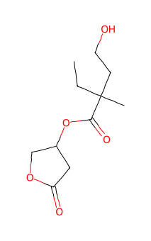 CCC(C)(CCO)C(=O)OC1COC(=O)C1